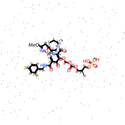 COC1=NO[C@@]2(CC[C@H](C)N3C[C@H]2n2cc(C(=O)NCc4ccc(F)cc4F)c(=O)c(OCOC(=O)OC[C@H](C)COP(=O)(O)O)c2C3=O)C1